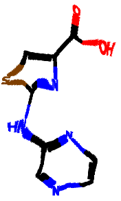 O=C(O)c1csc(Nc2cnccn2)n1